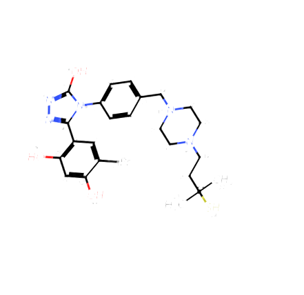 CC(C)c1cc(-c2nnc(O)n2-c2ccc(CN3CCN(CCC(C)(C)S)CC3)cc2)c(O)cc1O